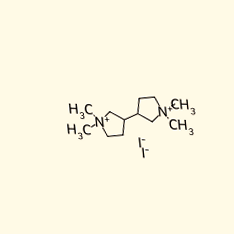 C[N+]1(C)CCC(C2CC[N+](C)(C)C2)C1.[I-].[I-]